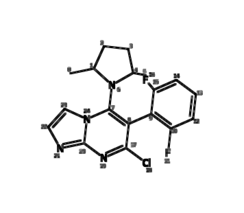 CC1CCC(C)N1c1c(-c2c(F)cccc2F)c(Cl)nc2nccn12